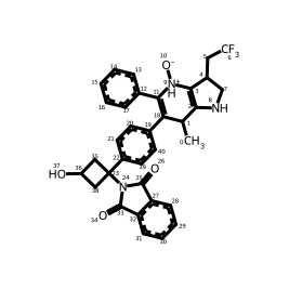 CC1C2=C(C(CC(F)(F)F)CN2)[NH+]([O-])C(c2ccccc2)=C1c1ccc(C2(N3C(=O)c4ccccc4C3=O)CC(O)C2)cc1